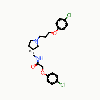 O=C(COc1ccc(Cl)cc1)NC[C@@H]1CCN(CCCOc2ccc(Cl)cc2)C1